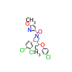 COc1ccc(C(=O)N2CC([C@@H](C)Oc3ccc(Cl)cc3)[C@H](c3ccc(Cl)c(Cl)c3)C2)cn1